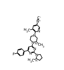 [C-]#[N+]c1cnc(N2CCN(c3cc(-c4ccc(F)cc4)nc(N4CCC[C@H]4C)n3)[C@H](C)C2)c(C)c1